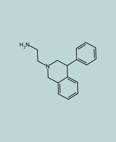 NCCN1Cc2ccccc2C(c2ccccc2)C1